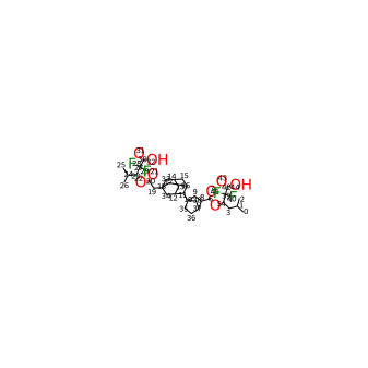 CC(C)CC(OC(=O)C1CC2(C3C4CC5CC3CC(CC(=O)OC(C(C)C)C(F)(F)C(=O)O)(C5)C4)CCC1C2)C(F)(F)C(=O)O